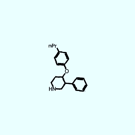 CCCc1ccc(OC2CCNCC2c2c[c]ccc2)cc1